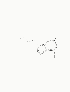 COCCn1ccc2c(F)cc(F)cc21